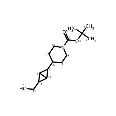 CC(C)(C)OC(=O)N1CCC(C2C3C(CO)C23)CC1